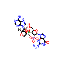 Nc1nc2c(ncn2[C@@H]2O[C@H](CO)[C@@H](F)[C@H]2P(=O)(O)OC[C@@]23CO[C@@H]([C@H](n4cnc5c(N)ncnc54)O2)[C@@H]3O)c(=O)[nH]1